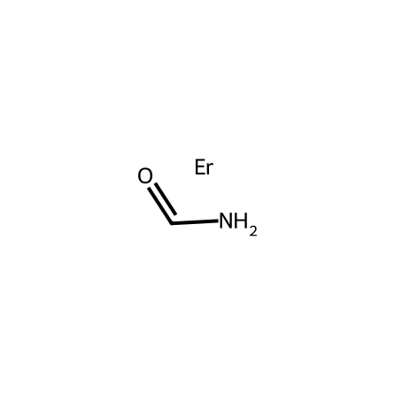 NC=O.[Er]